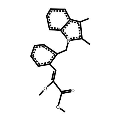 COC(=O)C(=Cc1ccccc1Cn1c(C)c(C)c2ccccc21)OC